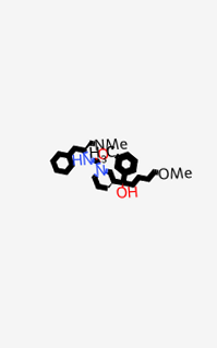 CNC[C@H](CC1CCCCC1)NC(=O)N1CCC[C@@H]([C@](O)(CCCCOC)c2cccc(C)c2)C1